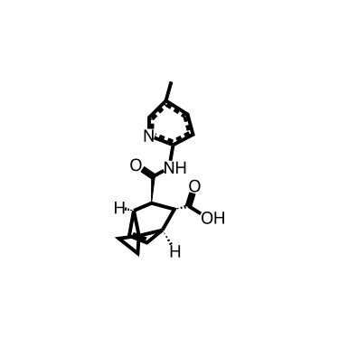 Cc1ccc(NC(=O)[C@H]2[C@H](C(=O)O)[C@H]3C=C[C@@H]2C32CC2)nc1